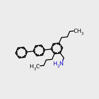 CCCCc1cc(CN)c(CCCC)c(-c2ccc(-c3ccccc3)cc2)c1